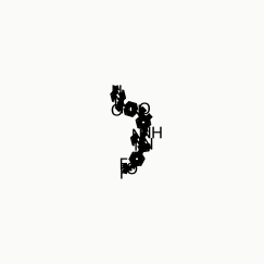 Cc1cc(Nc2nccn3c(-c4ccc(OC(F)F)cc4)cnc23)ccc1C(=O)N1CCN(C(=O)N2CCN(C)CC2)CC1